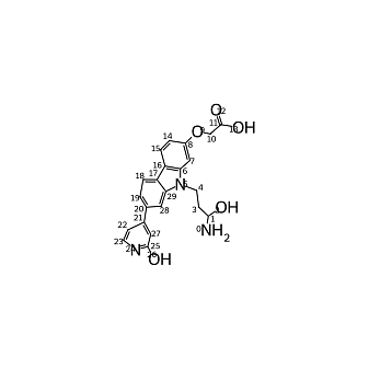 NC(O)CCn1c2cc(OCC(=O)O)ccc2c2ccc(-c3ccnc(O)c3)cc21